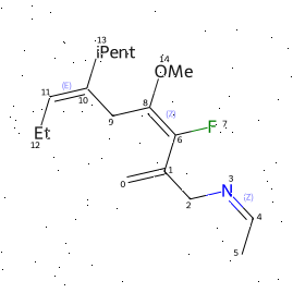 C=C(C/N=C\C)/C(F)=C(\C/C(=C\CC)C(C)CCC)OC